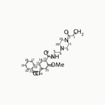 C=CC(=O)N1CCN(CCNC(=O)c2cc(-c3ccccc3Cl)c(Cl)cc2OC)CC1